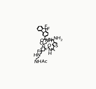 CC(=O)NCCNC[C@@]1(F)C[C@@H](C(=O)N[C@H](C)c2cc(C(=N)N)cs2)N(C(=O)CNC(=O)c2ccc3c(c2)-c2ccccc2C3(F)F)C1